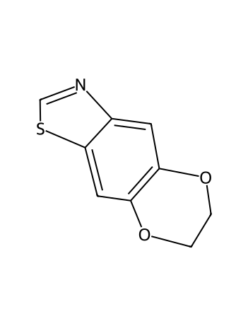 c1nc2cc3c(cc2s1)OCCO3